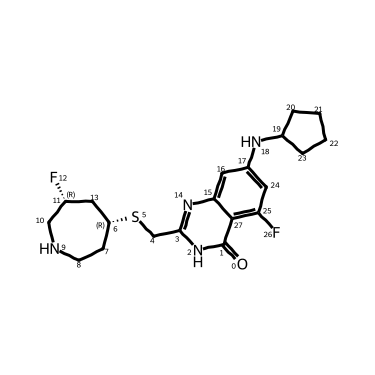 O=c1[nH]c(CS[C@@H]2CCNC[C@H](F)C2)nc2cc(NC3CCCC3)cc(F)c12